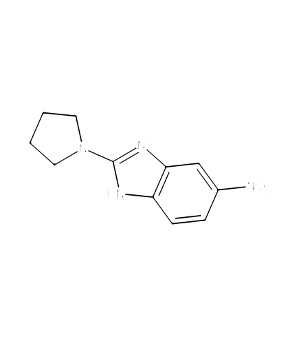 O=[N+]([O-])c1ccc2[nH]c(N3CCCC3)nc2c1